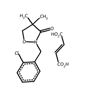 CC1(C)CON(Cc2ccccc2Cl)C1=O.O=C(O)/C=C/C(=O)O